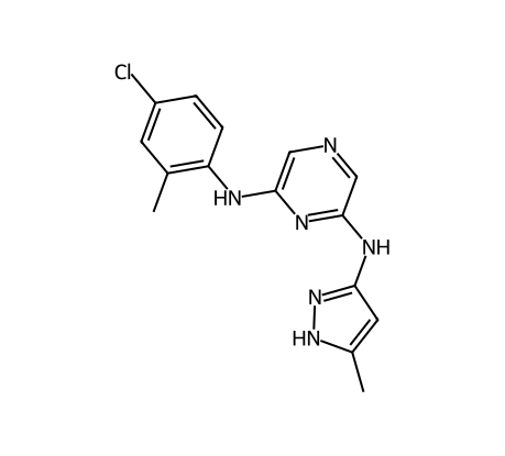 Cc1cc(Nc2cncc(Nc3ccc(Cl)cc3C)n2)n[nH]1